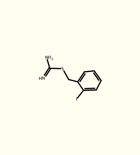 N=C(N)SCc1ccccc1I